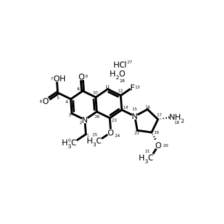 CCn1cc(C(=O)O)c(=O)c2cc(F)c(N3C[C@H](N)[C@H](OC)C3)c(OC)c21.Cl.O